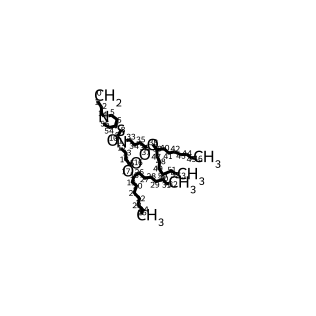 C=CCCN1CCC(SC(=O)N(CCCC(=O)OC(CCCCCCC)CCCCCCC)CCCC(=O)OC(CCCCCCC)CCCCCCC)CC1